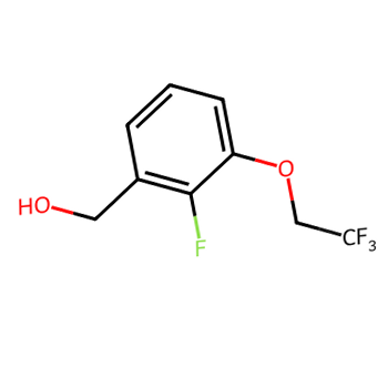 OCc1cccc(OCC(F)(F)F)c1F